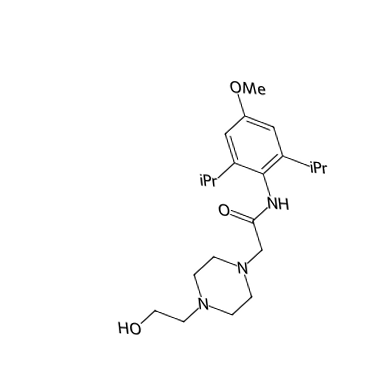 COc1cc(C(C)C)c(NC(=O)CN2CCN(CCO)CC2)c(C(C)C)c1